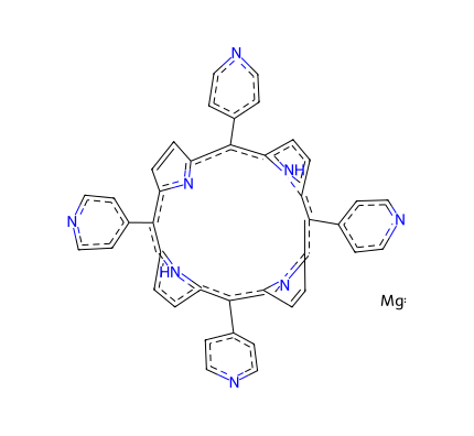 C1=Cc2nc1c(-c1ccncc1)c1ccc([nH]1)c(-c1ccncc1)c1nc(c(-c3ccncc3)c3ccc([nH]3)c2-c2ccncc2)C=C1.[Mg]